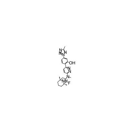 Cc1nnn(-c2ccc(-c3ccc(N(C)[C@@H]4C[C@@]5(C)CCC[C@](C)(N5)[C@H]4F)nn3)c(O)c2)n1